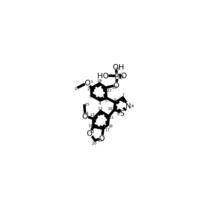 COc1ccc(-c2cnsc2-c2cc(OC)c3c(c2)OCO3)c(OP(=O)(O)O)c1